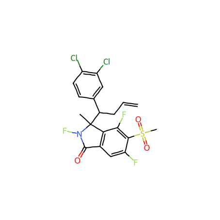 C=CCC(c1ccc(Cl)c(Cl)c1)C1(C)c2c(cc(F)c(S(C)(=O)=O)c2F)C(=O)N1F